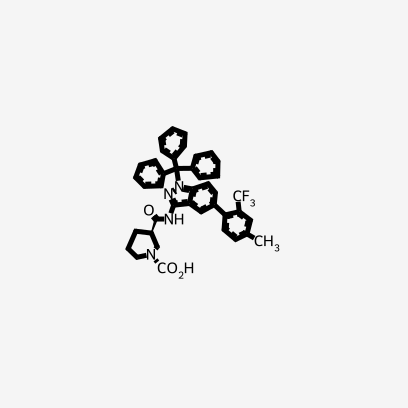 Cc1ccc(-c2ccc3c(c2)c(NC(=O)[C@@H]2CCCN(C(=O)O)C2)nn3C(c2ccccc2)(c2ccccc2)c2ccccc2)c(C(F)(F)F)c1